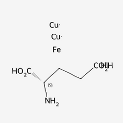 I.N[C@@H](CCC(=O)O)C(=O)O.[Cu].[Cu].[Fe]